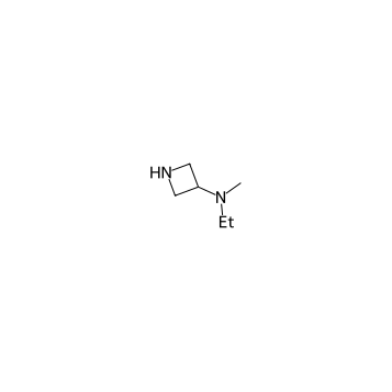 CCN(C)C1CNC1